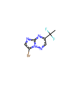 CC(F)(F)c1cnn2c(Br)cnc2n1